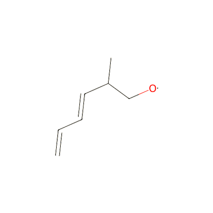 C=CC=CC(C)C[O]